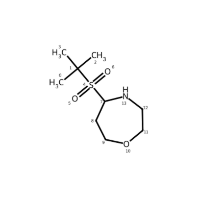 CC(C)(C)S(=O)(=O)C1CCOCCN1